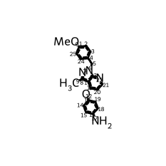 COc1ccc(Cn2nc(C)c3c(Oc4ccc(N)cc4)ccnc32)cc1